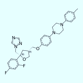 Cc1ccc(N2CCN(c3ccc(OC[C@@H]4CO[C@@](Cn5cncn5)(c5ccc(F)cc5F)C4)cc3)CC2)cc1